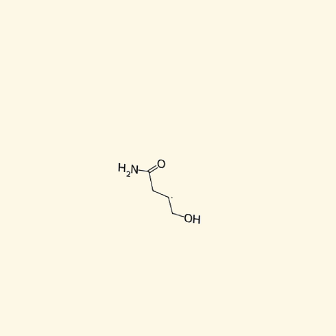 NC(=O)C[CH]CO